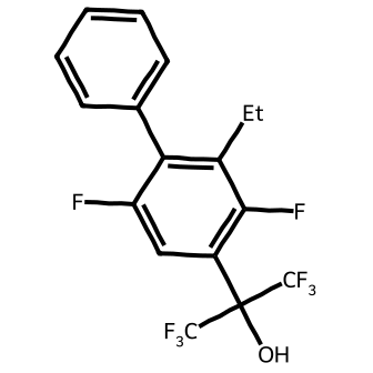 CCc1c(F)c(C(O)(C(F)(F)F)C(F)(F)F)cc(F)c1-c1ccccc1